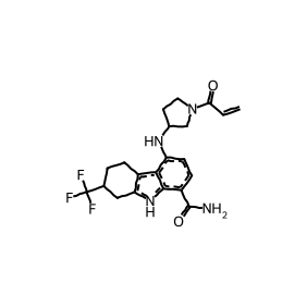 C=CC(=O)N1CCC(Nc2ccc(C(N)=O)c3[nH]c4c(c23)CCC(C(F)(F)F)C4)C1